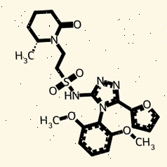 COc1cccc(OC)c1-n1c(NS(=O)(=O)CCN2C(=O)CCC[C@H]2C)nnc1-c1ccco1